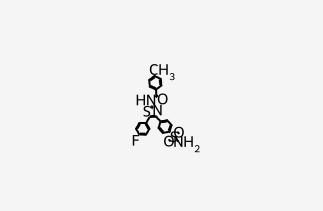 Cc1ccc(C(=O)Nc2nc(-c3ccc(S(N)(=O)=O)cc3)c(-c3ccc(F)cc3)s2)cc1